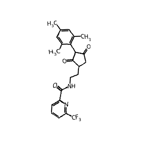 Cc1cc(C)c(C2C(=O)CC(CCNC(=O)c3cccc(C(F)(F)F)n3)C2=O)c(C)c1